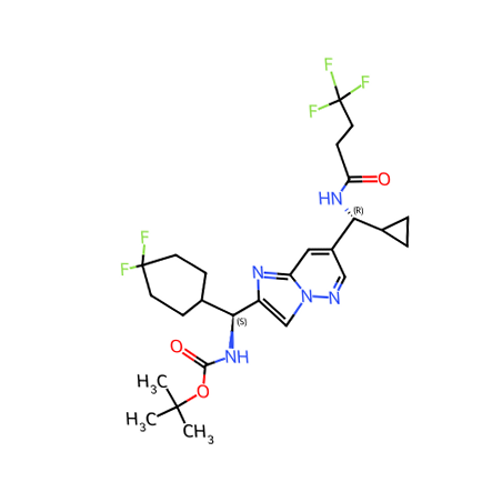 CC(C)(C)OC(=O)N[C@H](c1cn2ncc([C@H](NC(=O)CCC(F)(F)F)C3CC3)cc2n1)C1CCC(F)(F)CC1